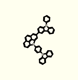 c1ccc(-n2c3ccccc3c3cc(-c4cc5ccc6cccc7c6c5c(c4)n7-c4ccc(-n5c6ccccc6c6ccccc65)cc4)ccc32)cc1